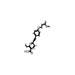 CCc1nc(C#Cc2ccc(OCCC(C)SC)cc2)ccc1C(=O)O